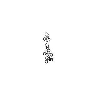 O=C1CCC(N2C(=O)c3ccc(N4CCC(CN5CCCN(C6CCCCC6)C5=O)CC4)cc3C2=O)C(=O)N1